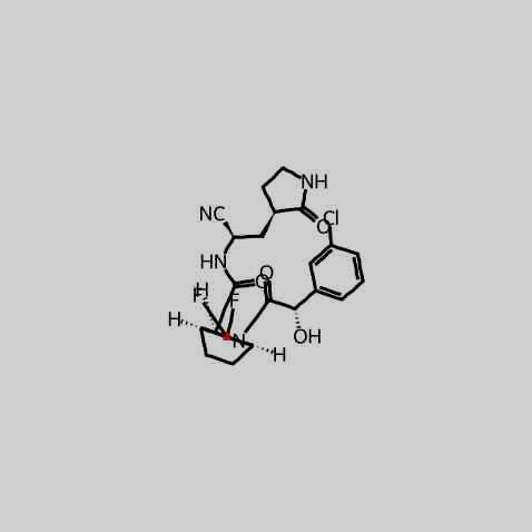 N#C[C@@H](C[C@H]1CCNC1=O)NC(=O)[C@@H]1[C@@H]2CC[C@@H](CC2(F)F)N1C(=O)[C@@H](O)c1cccc(Cl)c1